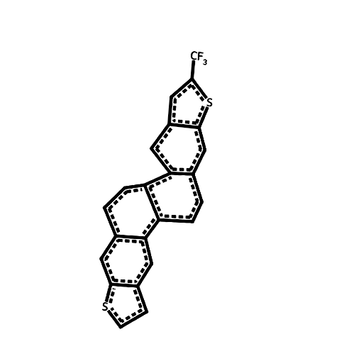 FC(F)(F)c1cc2cc3c(ccc4c5cc6ccsc6cc5ccc34)cc2s1